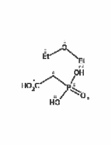 CCOCC.O=C(O)CP(=O)(O)O